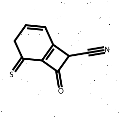 N#CC1C(=O)C2=C1C=CCC2=S